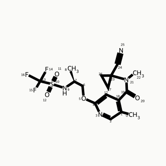 Cc1cnc(OC[C@H](C)NS(=O)(=O)C(F)(F)F)cc1C(=O)N(C)C1(C#N)CC1